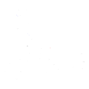 Cc1ccc(-c2c(O)cc(N3CCC(NC(=O)O)CC3)cc2OCc2ccccc2)cc1OCc1ccccc1